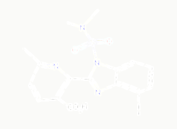 Cc1ccc(C(=O)O)c(-c2nc3c(C)cccc3n2S(=O)(=O)N(C)C)n1